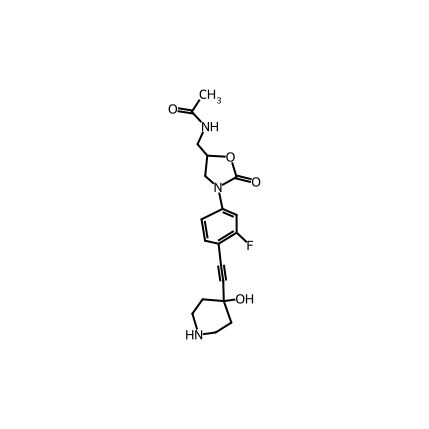 CC(=O)NCC1CN(c2ccc(C#CC3(O)CCNCC3)c(F)c2)C(=O)O1